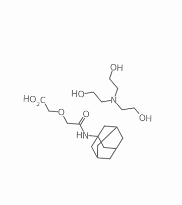 O=C(O)COCC(=O)NC12CC3CC(CC(C3)C1)C2.OCCN(CCO)CCO